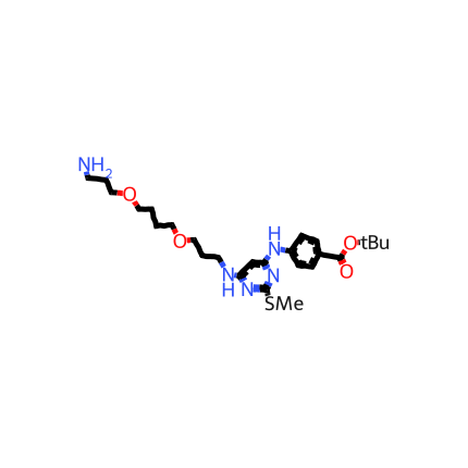 CSc1nc(NCCCOCCCCOCCCN)cc(Nc2ccc(C(=O)OC(C)(C)C)cc2)n1